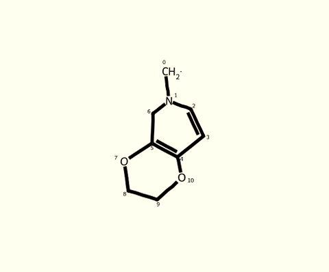 [CH2]N1C=CC2=C(C1)OCCO2